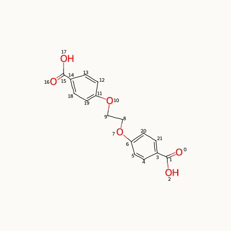 O=C(O)c1ccc(OCCOc2ccc(C(=O)O)cc2)cc1